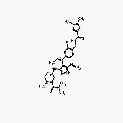 C=Nc1[nH]nc(N[C@@H]2CC[C@H](C)N(C(=O)N(C)C)C2)c1/C(=C\C)c1ccc(CNC(=O)c2nc(C)c(C)o2)c(F)c1